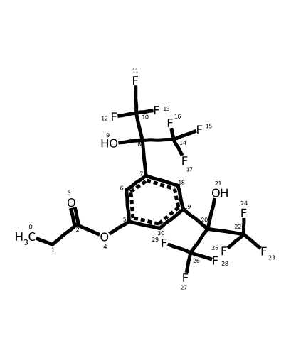 CCC(=O)Oc1cc(C(O)(C(F)(F)F)C(F)(F)F)cc(C(O)(C(F)(F)F)C(F)(F)F)c1